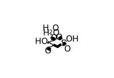 O.O.O=S(=O)(O)CS(=O)(=O)O